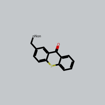 CCCCCCCCCCc1ccc2sc3ccccc3c(=O)c2c1